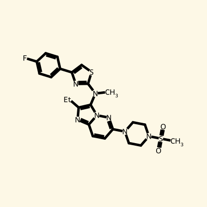 CCc1nc2ccc(N3CCN(S(C)(=O)=O)CC3)nn2c1N(C)c1nc(-c2ccc(F)cc2)cs1